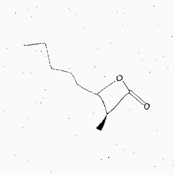 CCCCCC1OC(=O)[C@H]1C